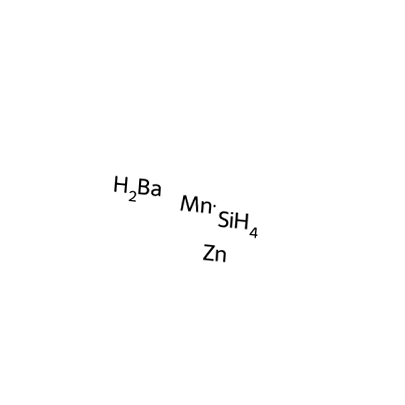 [BaH2].[Mn].[SiH4].[Zn]